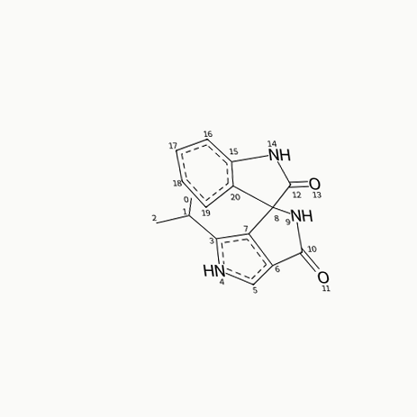 CC(C)c1[nH]cc2c1C1(NC2=O)C(=O)Nc2ccccc21